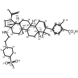 C=C(C)[C@@H]1CC[C@]2(NCCN3CCC(S(C)(=O)=O)CC3)CC[C@]3(C)[C@H](CC[C@@H]4[C@@]5(C)CC=C(c6ccc(C(=O)O)c(F)c6)C(C)(C)[C@@H]5CC[C@]43C)[C@@H]12